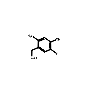 Cc1cc(O)c(F)cc1CC(=O)O